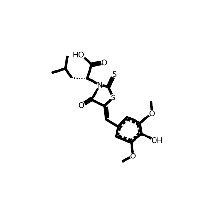 COc1cc(/C=C2\SC(=S)N([C@H](CC(C)C)C(=O)O)C2=O)cc(OC)c1O